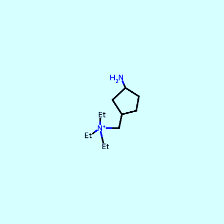 CC[N+](CC)(CC)CC1CCC(N)C1